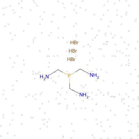 Br.Br.Br.NCP(CN)CN